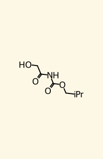 CC(C)COC(=O)NC(=O)CO